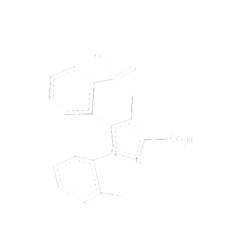 O=C(O)c1nn(-c2ccccc2F)c2c1CS(=O)(=O)c1ccccc1-2